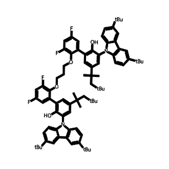 CC(C)(C)CC(C)(C)c1cc(-c2cc(F)cc(F)c2OCCCOc2c(F)cc(F)cc2-c2cc(C(C)(C)CC(C)(C)C)cc(-n3c4ccc(C(C)(C)C)cc4c4cc(C(C)(C)C)ccc43)c2O)c(O)c(-n2c3ccc(C(C)(C)C)cc3c3cc(C(C)(C)C)ccc32)c1